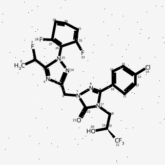 CC(F)c1nc(Cn2nc(-c3ccc(Cl)cc3)n(C[C@H](O)C(F)(F)F)c2=O)nn1-c1c(F)cccc1F